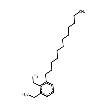 CCCCCCCCCCCCc1[c]ccc(CC)c1CC